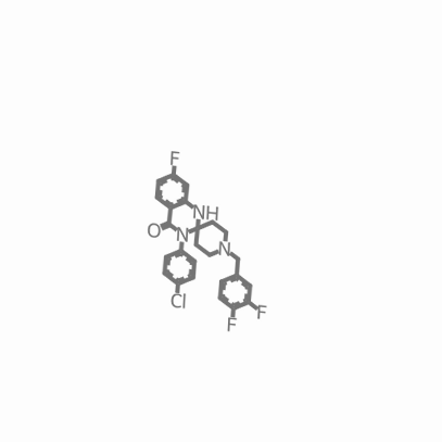 O=C1c2ccc(F)cc2NC2(CCN(Cc3ccc(F)c(F)c3)CC2)N1c1ccc(Cl)cc1